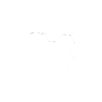 CC(CCN=C=O)CCC(C)N=C=O